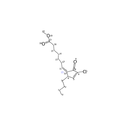 CCCCC1C=C(Cl)C(=O)/C1=C\CCCCCC(=O)OC